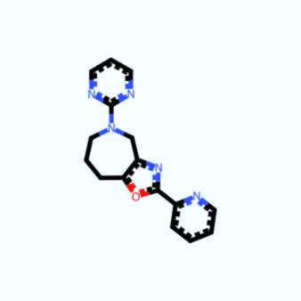 c1ccc(-c2nc3c(o2)CCCN(c2ncccn2)C3)nc1